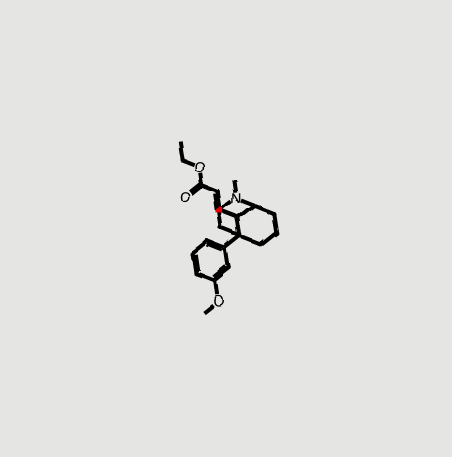 CCOC(=O)C=CC1C2CCCC1(c1cccc(OC)c1)CCN2C